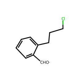 O=[C]c1ccccc1CCCCl